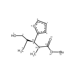 CC(CO)[C@@H](c1ccco1)N(C)C(=O)OC(C)(C)C